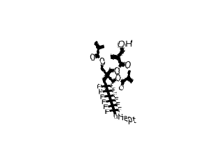 C=C(C)C(=O)OCC(COC(=O)C(=C)C)(COC(=O)C(=C)CO)CC(F)(F)C(F)(F)C(F)(F)C(F)(F)C(F)(F)C(F)(F)CCCCCCC